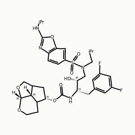 CC(C)CN(C[C@@H](O)[C@H](Cc1cc(F)cc(F)c1)NC(=O)O[C@H]1CC2CO[C@H]3OCCC1[C@@H]23)S(=O)(=O)c1ccc2nc(NC(C)C)oc2c1